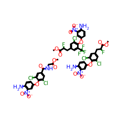 COC(=O)C(F)Cc1cc(Cl)c(Oc2ccc(N)c([N+](=O)[O-])c2)c(C(F)(F)F)c1.COC(=O)C(F)Cc1cc(Cl)c(Oc2ccc(N)c([N+](=O)[O-])c2)c(Cl)c1.COC(=O)CNC(=O)c1cc(Cl)c(Oc2ccc(N)c([N+](=O)[O-])c2)c(Cl)c1